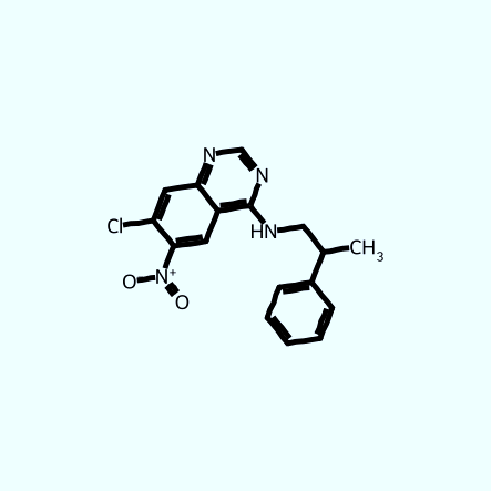 CC(CNc1ncnc2cc(Cl)c([N+](=O)[O-])cc12)c1ccccc1